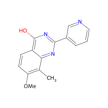 COc1ccc2c(O)nc(-c3cccnc3)nc2c1C